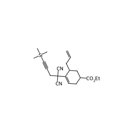 C=CCC1CC(C(=O)OCC)CC=C1C(C#N)(C#N)CC#C[Si](C)(C)C